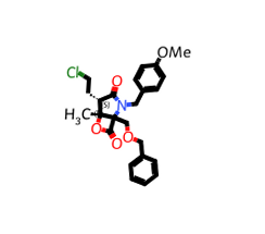 COc1ccc(CN2C(=O)[C@@H](CCCl)[C@@]3(C)OC(=O)C23COCc2ccccc2)cc1